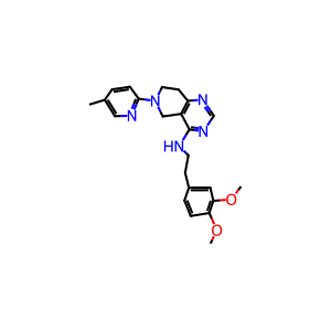 COc1ccc(CCNc2ncnc3c2CN(c2ccc(C)cn2)CC3)cc1OC